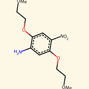 COCCOc1cc([N+](=O)[O-])c(OCCOC)cc1N